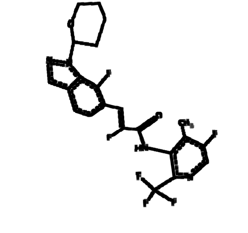 Cc1c(F)cnc(C(F)(F)F)c1NC(=O)/C(F)=C/c1ccc2cnn(C3CCCCO3)c2c1F